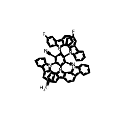 Cc1ccc2c(c1)c1ccc3c4ccccc4oc3c1n2-c1c(C#N)c(-n2c3ccccc3c3cc(F)ccc32)c(-n2c3ccccc3c3cc(F)ccc32)c(C#N)c1-n1c2ccccc2c2cc(F)ccc21